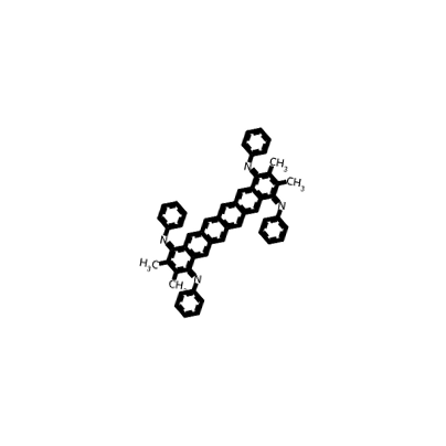 Cc1c(C)c(=Nc2ccccc2)c2cc3cc4cc5cc6c(=Nc7ccccc7)c(C)c(C)c(=Nc7ccccc7)c6cc5cc4cc3cc2c1=Nc1ccccc1